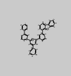 c1ccc(-c2cccc(-c3cc(-c4ccccc4)cc(-c4cccc(-c5cccc6c5oc5ccccc56)c4)n3)c2)cc1